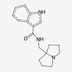 O=C(NCC12CCCN1CCC2)c1c[nH]c2ccccc12